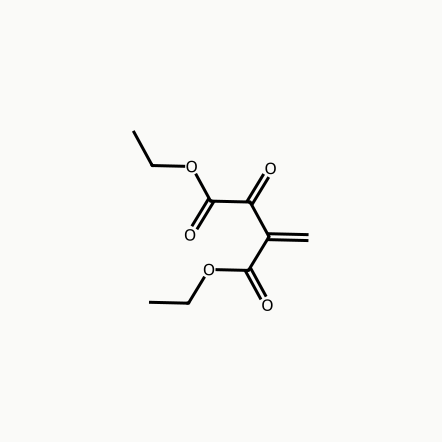 C=C(C(=O)OCC)C(=O)C(=O)OCC